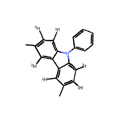 [2H]c1c(C)c([2H])c2c3c([2H])c(C)c([2H])c([2H])c3n(-c3ccccc3)c2c1[2H]